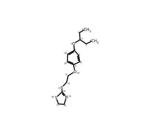 CCC(CC)Oc1ccc(OCCSC2=NCCS2)cc1